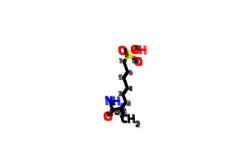 C=C(CCCCCCS(=O)(=O)O)C(N)=O